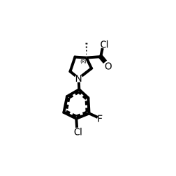 C[C@@]1(C(=O)Cl)CCN(c2ccc(Cl)c(F)c2)C1